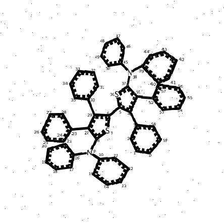 c1ccc(-c2c(-c3sc(N(c4ccccc4)c4ccccc4)c(-c4ccccc4)c3-c3ccccc3)sc(N(c3ccccc3)c3ccccc3)c2-c2ccccc2)cc1